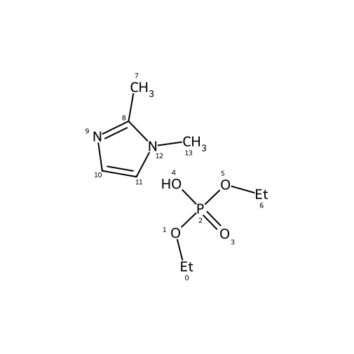 CCOP(=O)(O)OCC.Cc1nccn1C